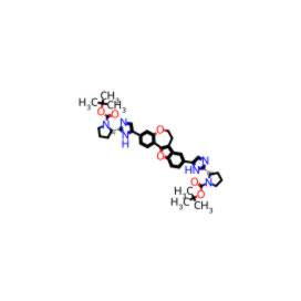 CC(C)(C)OC(=O)N1CCC[C@H]1c1ncc(-c2ccc3c(c2)OCCc2c-3oc3ccc(-c4cnc([C@@H]5CCCN5C(=O)OC(C)(C)C)[nH]4)cc23)[nH]1